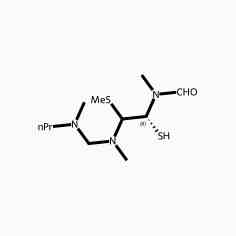 CCCN(C)CN(C)C(SC)[C@@H](S)N(C)C=O